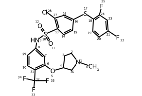 CN1CCC(Oc2cc(NS(=O)(=O)c3ccc(Sc4ccc(F)cc4F)cc3Cl)ccc2C(F)(F)F)C1